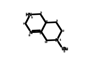 CC(C)(C)N1CCC2CNCN=C2C1